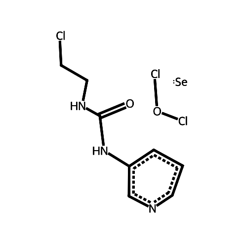 ClOCl.O=C(NCCCl)Nc1cccnc1.[Se]